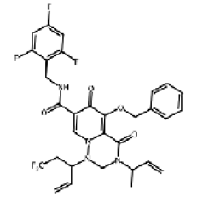 C=CC(C)N1CN(C(C=C)CC(F)(F)F)n2cc(C(=O)NCc3c(F)cc(F)cc3F)c(=O)c(OCc3ccccc3)c2C1=O